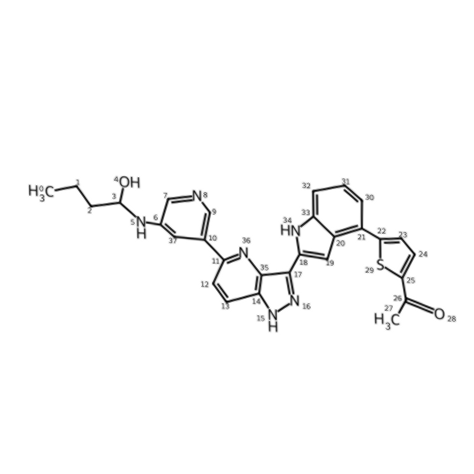 CCCC(O)Nc1cncc(-c2ccc3[nH]nc(-c4cc5c(-c6ccc(C(C)=O)s6)cccc5[nH]4)c3n2)c1